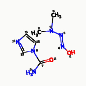 CN(C)N=NO.NC(=O)n1ccnc1